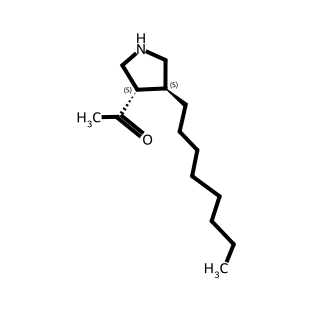 CCCCCCCC[C@@H]1CNC[C@H]1C(C)=O